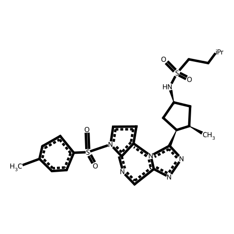 Cc1ccc(S(=O)(=O)n2ccc3c2ncc2nnc([C@H]4C[C@@H](NS(=O)(=O)CCC(C)C)C[C@H]4C)n23)cc1